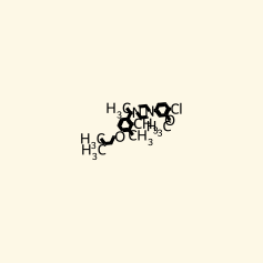 COc1cc(N2CCN(C(C)c3ccc(OCCC(C)C)c(C)c3C)CC2)ccc1Cl